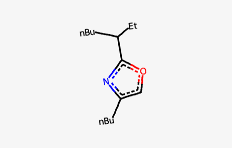 CCCCc1coc(C(CC)CCCC)n1